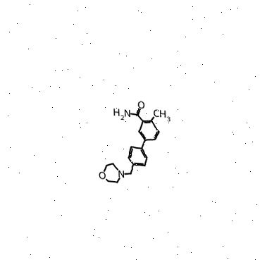 Cc1ccc(-c2ccc(CN3CCOCC3)cc2)cc1C(N)=O